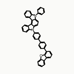 c1ccc(-n2c3ccccc3c3c4c5ccccc5n(-c5ccc(-c6ccc(-c7cccc8c7oc7ccccc78)cc6)cc5)c4ccc32)cc1